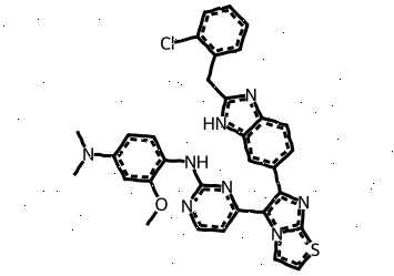 COc1cc(N(C)C)ccc1Nc1nccc(-c2c(-c3ccc4nc(Cc5ccccc5Cl)[nH]c4c3)nc3sccn23)n1